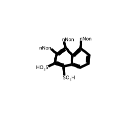 CCCCCCCCCc1c(S(=O)(=O)O)c(S(=O)(=O)O)c2cccc(CCCCCCCCC)c2c1CCCCCCCCC